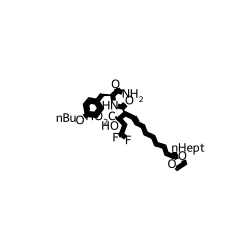 CCCCCCCC1(CCCCCC/C=C/[C@H](C(=O)N[C@@H](Cc2ccc(OCCCC)cc2)C(N)=O)[C@@](O)(CC(F)F)C(=O)O)OCCO1